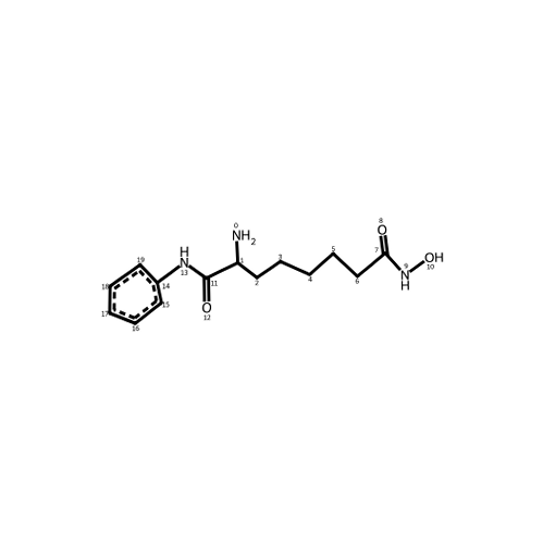 NC(CCCCCC(=O)NO)C(=O)Nc1ccccc1